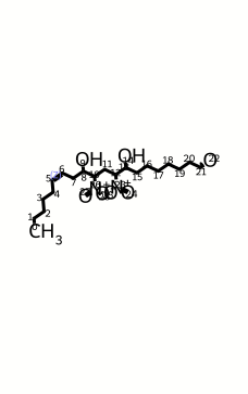 CCCCC/C=C\CC(O)C(CC(C(O)CCCCCC[C]=O)[N+](=O)[O-])[N+](=O)[O-]